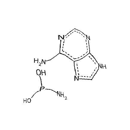 NP(O)O.Nc1ncnc2[nH]cnc12